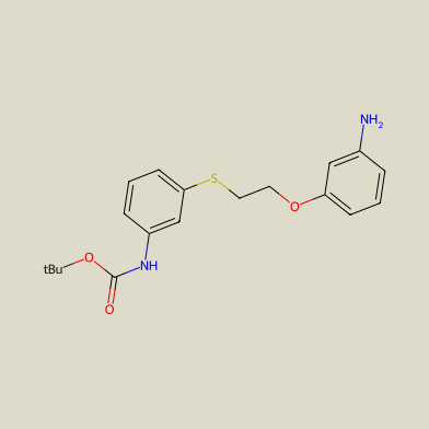 CC(C)(C)OC(=O)Nc1cccc(SCCOc2cccc(N)c2)c1